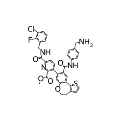 COC(=O)c1nc(C(=O)NCc2cccc(Cl)c2F)ccc1-c1cc2c(cc1C(=O)Nc1ccc(CN)cc1)-c1sccc1CCO2